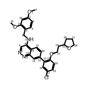 COc1ccc(CNc2cnnc3cc(-c4cc(Cl)ccc4OCCC4CCCO4)ccc23)c(OC)c1